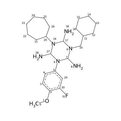 COc1ccc(N2C(N)N(CC3CCCCC3)C(N)N(C3CCCCCC3)C2N)cc1F